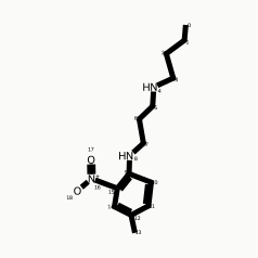 CCCCNCCCNc1ccc(C)cc1[N+](=O)[O-]